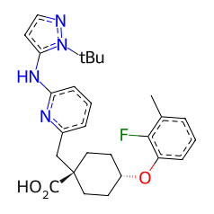 Cc1cccc(O[C@H]2CC[C@](Cc3cccc(Nc4ccnn4C(C)(C)C)n3)(C(=O)O)CC2)c1F